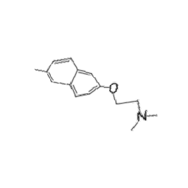 Cc1ccc2cc(OCCN(C)C)ccc2c1